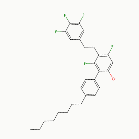 CCCCCCCCc1ccc(-c2c([O])cc(F)c(CCc3cc(F)c(F)c(F)c3)c2F)cc1